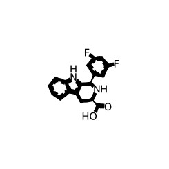 O=C(O)[C@H]1Cc2c([nH]c3ccccc23)[C@@H](c2cc(F)cc(F)c2)N1